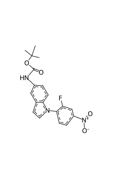 CC(C)(C)OC(=O)Nc1ccc2c(ccn2-c2ccc([N+](=O)[O-])cc2F)c1